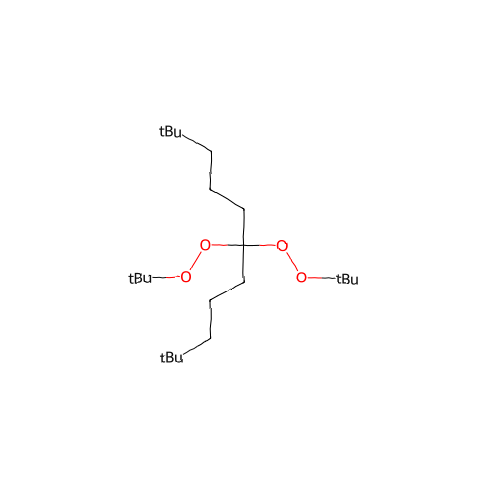 CC(C)(C)CCCC(CCCC(C)(C)C)(OOC(C)(C)C)OOC(C)(C)C